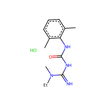 CCN(C)C(=N)NC(=O)Nc1c(C)cccc1C.Cl